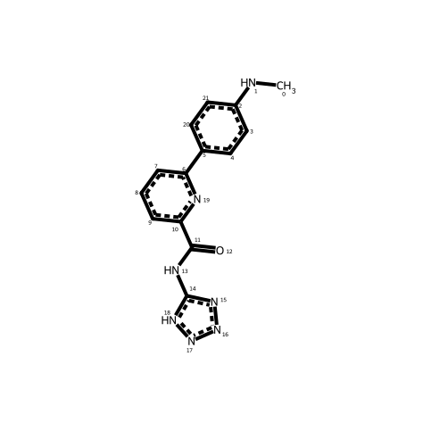 CNc1ccc(-c2cccc(C(=O)Nc3nnn[nH]3)n2)cc1